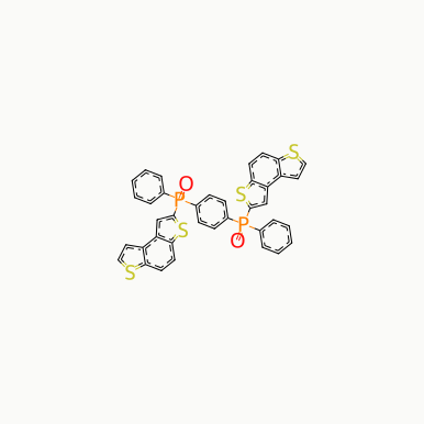 O=P(c1ccccc1)(c1ccc(P(=O)(c2ccccc2)c2cc3c(ccc4sccc43)s2)cc1)c1cc2c(ccc3sccc32)s1